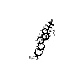 CC1(C)COC2(CC[C@]34O[C@]3(CC[C@@H]3C4=CCC4(C)[C@H]3CC[C@@]4(O)C(F)(F)C(F)(F)F)C2)OC1